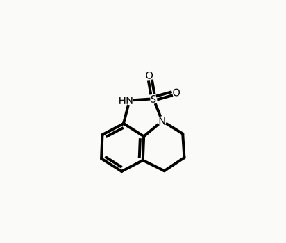 O=S1(=O)Nc2cccc3c2N1CCC3